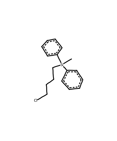 C[Si](CCCCCl)(c1ccccc1)c1ccccc1